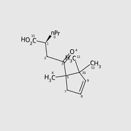 CCC[C@@H](CC(=O)C1(C)CC=CC1(C)C)C(=O)O